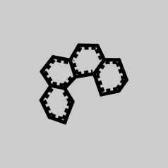 c1ccc2c(c1)ccc1ccc3ccccc3c12